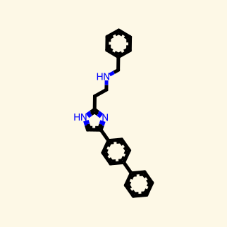 c1ccc(CNCCc2nc(-c3ccc(-c4ccccc4)cc3)c[nH]2)cc1